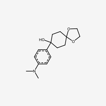 CN(C)c1ccc(C2(O)CCC3(CC2)OCCO3)cc1